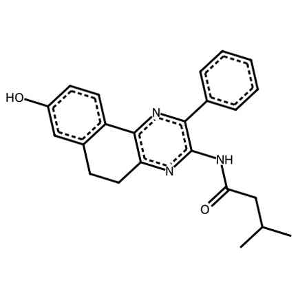 CC(C)CC(=O)Nc1nc2c(nc1-c1ccccc1)-c1ccc(O)cc1CC2